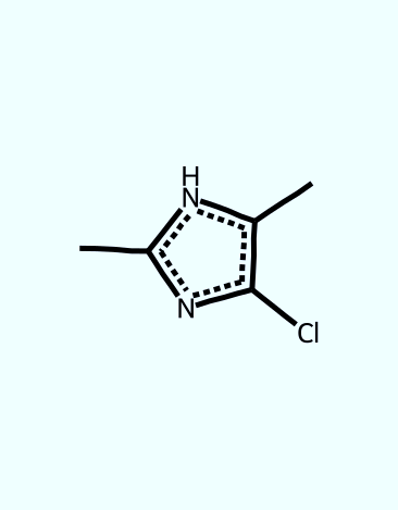 Cc1nc(Cl)c(C)[nH]1